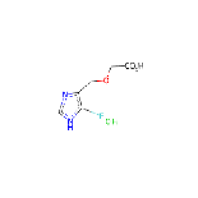 Cl.O=C(O)COCc1nc[nH]c1F